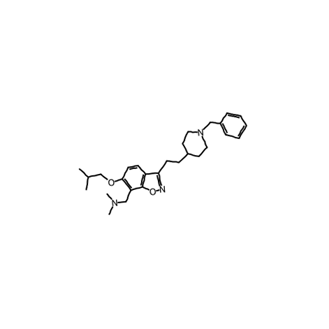 CC(C)COc1ccc2c(CCC3CCN(Cc4ccccc4)CC3)noc2c1CN(C)C